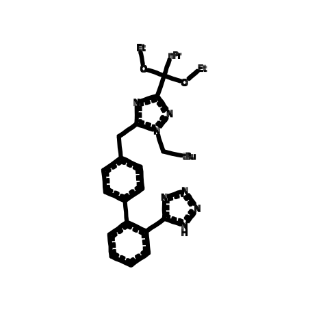 CCCC(OCC)(OCC)c1nc(Cc2ccc(-c3ccccc3-c3nnn[nH]3)cc2)n(CC(C)(C)C)n1